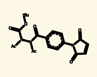 CC(=O)N(C(=O)OC(C)(C)C)N(C(C)=O)C(=O)c1ccc(N2C(=O)C=CC2=O)cc1